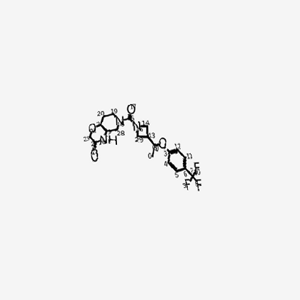 C[C@H](Oc1ccc(C(F)(F)F)cc1)C1CN(C(=O)N2CCC3OCC(=O)NC3C2)C1